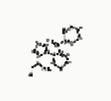 C=CC(N)c1nccn1-c1ccccc1C(=O)c1ccccn1